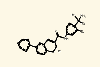 CCc1cc(NC(=O)C2=Cc3cc(-c4ccccc4)ccc3CC2)ccc1C(N)(CC)CC.Cl